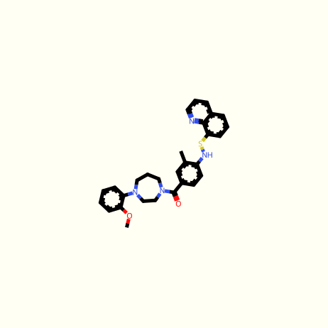 COc1ccccc1N1CCCN(C(=O)c2ccc(NSc3cccc4cccnc34)c(C)c2)CC1